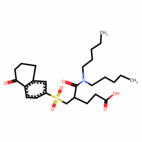 CCCCCN(CCCCC)C(=O)C(CCC(=O)O)CS(=O)(=O)c1ccc2c(c1)CCCC2=O